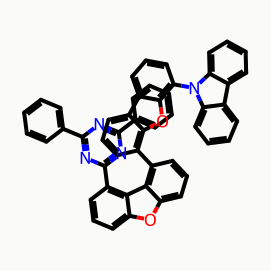 c1ccc(-c2nc(-c3ccccc3)nc(-c3cccc4oc5cccc(-c6cccc7c6oc6c(-n8c9ccccc9c9ccccc98)cccc67)c5c34)n2)cc1